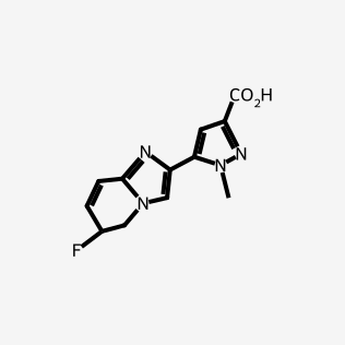 Cn1nc(C(=O)O)cc1-c1cn2c(n1)C=CC(F)C2